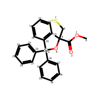 COC(=O)C(C)(CS)O[Si](c1ccccc1)(c1ccccc1)c1ccccc1